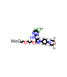 COCCOCCCOc1nn(C2CCC(N3C[C@@H](C)O[C@@H](C)C3)CC2)cc1Nc1ncccn1.Cl